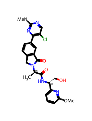 CNc1ncc(Cl)c(-c2ccc3c(c2)C(=O)N([C@H](C)C(=O)N[C@H](CO)c2cccc(OC)n2)C3)n1